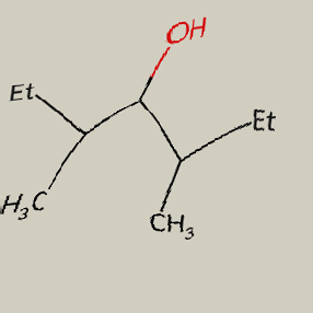 CCC(C)C(O)C(C)CC